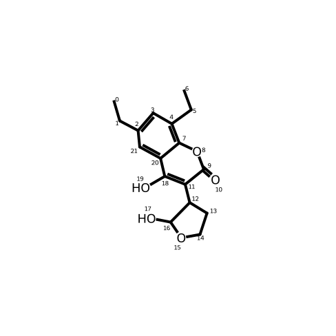 CCc1cc(CC)c2oc(=O)c(C3CCOC3O)c(O)c2c1